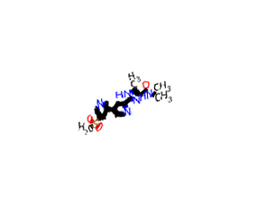 Cc1[nH]c(-c2cc(-c3cncc(S(C)(=O)=O)c3)ccn2)nc1C(=O)NC(C)C